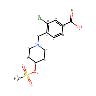 CS(=O)(=O)OC1CCN(Cc2ccc(C(=O)O)cc2Cl)CC1